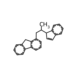 CC(Cc1cccc2c1Cc1ccccc1-2)C1C=Cc2ccccc21